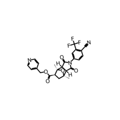 C[C@]12O[C@](C)(C[C@H]1C(=O)OCc1ccncc1)[C@H]1C(=O)N(c3ccc(C#N)c(C(F)(F)F)c3)C(=O)[C@H]12